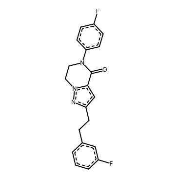 O=C1c2cc(CCc3cccc(F)c3)nn2CCN1c1ccc(F)cc1